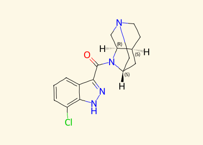 O=C(c1n[nH]c2c(Cl)cccc12)N1[C@H]2C[C@@H]3CCN(C2)C[C@@H]31